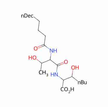 CCCCCCCCCCCCCC(=O)NC(C(=O)NC(C(=O)O)C(O)CCCC)C(C)O